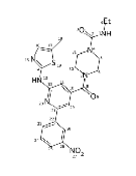 CCNC(=O)N1CCN(C(=O)c2cc(Nc3ncc(C)s3)nc(-c3cccc([N+](=O)[O-])c3)c2)CC1